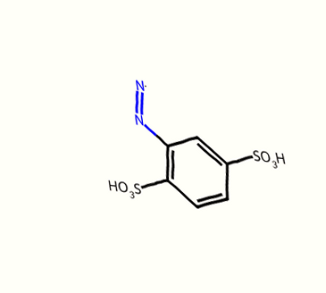 [N]=Nc1cc(S(=O)(=O)O)ccc1S(=O)(=O)O